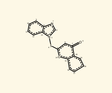 O=c1cc(Sn2cnc3ccccc32)oc2ccccc12